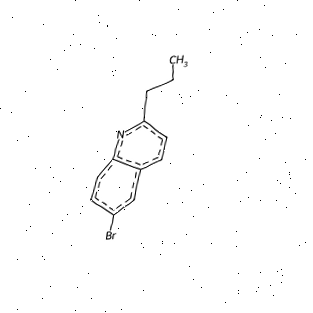 CCCc1ccc2cc(Br)ccc2n1